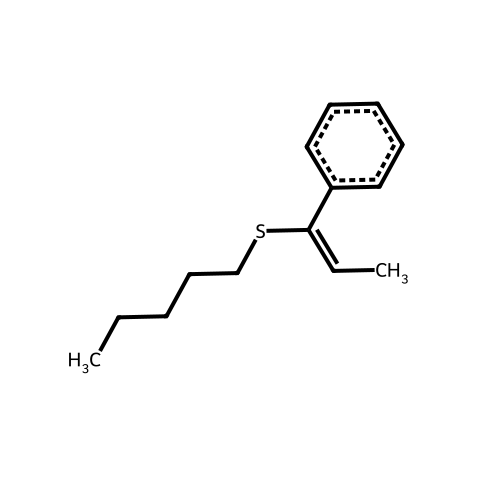 C/C=C(/SCCCCC)c1ccccc1